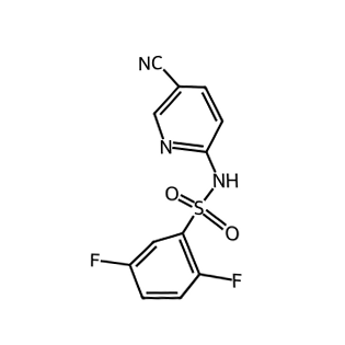 N#Cc1ccc(NS(=O)(=O)c2cc(F)ccc2F)nc1